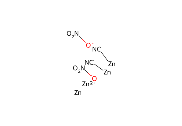 N#[C][Zn].N#[C][Zn].O=[N+]([O-])[O-].O=[N+]([O-])[O-].[Zn+2].[Zn]